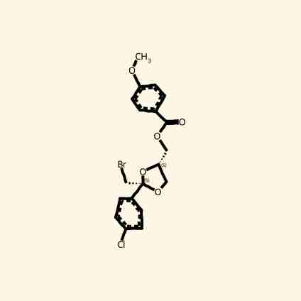 COc1ccc(C(=O)OC[C@@H]2CO[C@@](CBr)(c3ccc(Cl)cc3)O2)cc1